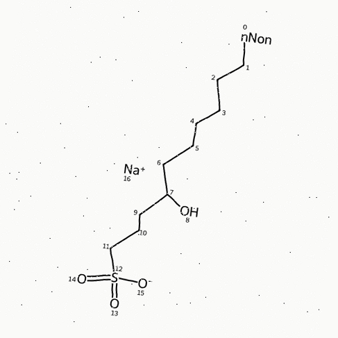 CCCCCCCCCCCCCCCC(O)CCCS(=O)(=O)[O-].[Na+]